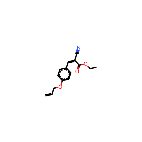 C=CCOc1ccc(C=C(C#N)C(=O)OCC)cc1